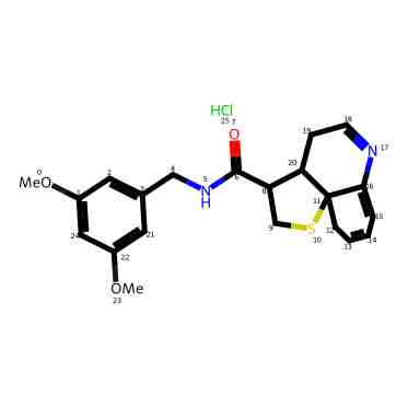 COc1cc(CNC(=O)C2CSC34CC=CC=C3N=CCC24)cc(OC)c1.Cl